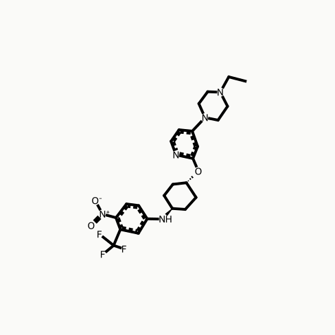 CCN1CCN(c2ccnc(O[C@H]3CC[C@H](Nc4ccc([N+](=O)[O-])c(C(F)(F)F)c4)CC3)c2)CC1